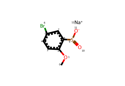 COc1ccc(Br)cc1S(=O)[O-].[Na+]